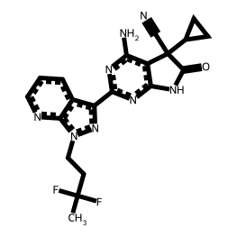 CC(F)(F)CCn1nc(-c2nc(N)c3c(n2)NC(=O)C3(C#N)C2CC2)c2cccnc21